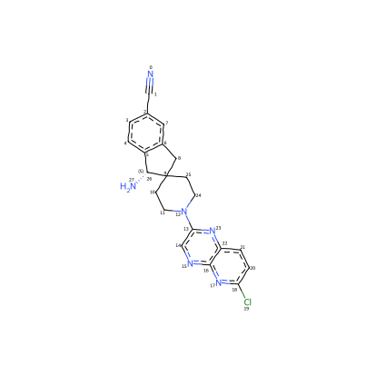 N#Cc1ccc2c(c1)CC1(CCN(c3cnc4nc(Cl)ccc4n3)CC1)[C@@H]2N